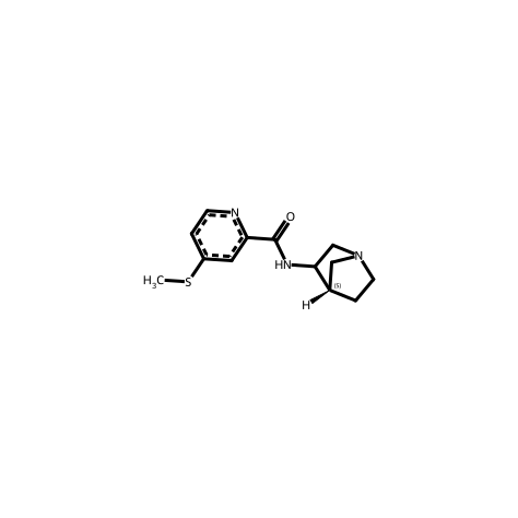 CSc1ccnc(C(=O)NC2CN3CC[C@H]2C3)c1